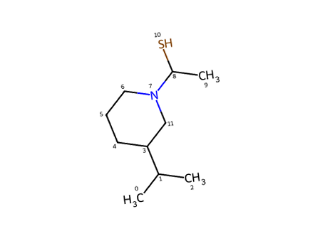 CC(C)C1CCCN(C(C)S)C1